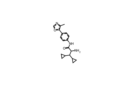 Cc1ncoc1-c1ccc(NC(=O)C(N)C(C2CC2)C2CC2)cc1